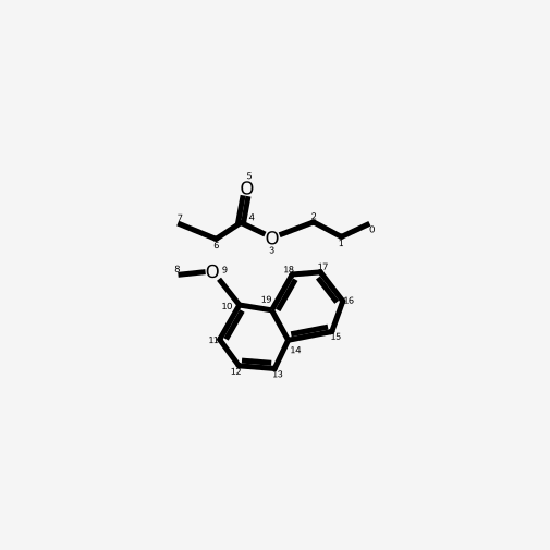 CCCOC(=O)CC.COc1cccc2ccccc12